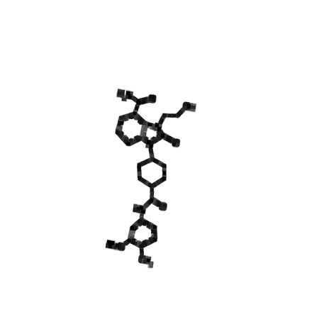 COc1cc(NC(=O)C2CCC(n3c(=O)n(CCO)c4c(C(N)=O)cccc43)CC2)ccc1C